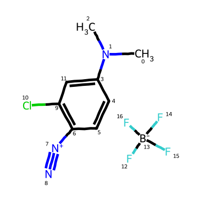 CN(C)c1ccc([N+]#N)c(Cl)c1.F[B-](F)(F)F